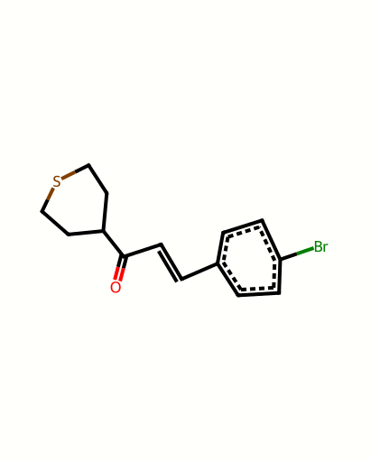 O=C(C=Cc1ccc(Br)cc1)C1CCSCC1